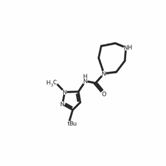 Cn1nc(C(C)(C)C)cc1NC(=O)N1CCCNCC1